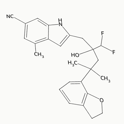 Cc1cc(C#N)cc2[nH]c(CC(O)(CC(C)(C)c3cccc4c3OCC4)C(F)F)cc12